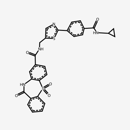 O=C(NCc1cnc(-c2ccc(C(=O)NC3CC3)cc2)s1)c1ccc2c(c1)NC(=O)c1ccccc1S2(=O)=O